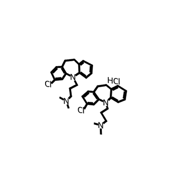 CN(C)CCCN1c2ccccc2CCc2ccc(Cl)cc21.CN(C)CCCN1c2ccccc2CCc2ccc(Cl)cc21.Cl